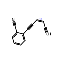 C#C/C=C\C#Cc1ccccc1C#N